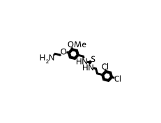 COc1cc(CNC(=S)NCCc2ccc(Cl)cc2Cl)ccc1OCCN